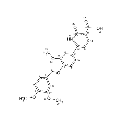 COc1ccc(COc2ccc(-c3ccc(C(=O)O)c(=O)[nH]3)cc2OC)cc1OC